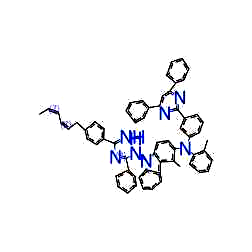 C/C=C\C=C/Cc1ccc(C(=N)/N=C(\Nn2c3ccccc3c3c(C)c(N(c4cccc(-c5nc(-c6ccccc6)cc(-c6ccccc6)n5)c4)c4ccccc4C)ccc32)c2ccccc2)cc1